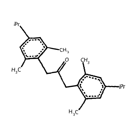 Cc1cc(C(C)C)cc(C)c1CC(=O)Cc1c(C)cc(C(C)C)cc1C